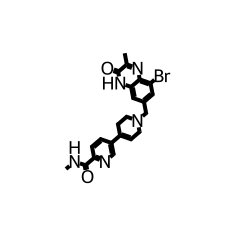 CNC(=O)c1ccc(C2=CCN(Cc3cc(Br)c4nc(C)c(=O)[nH]c4c3)CC2)cn1